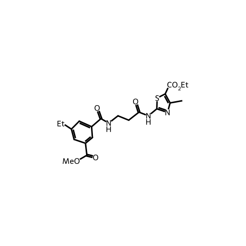 CCOC(=O)c1sc(NC(=O)CCNC(=O)c2cc(CC)cc(C(=O)OC)c2)nc1C